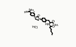 CCCCCC(=O)NC(Cc1ccc(N2CCN(c3ccc(C(=N)N)cc3)C2=O)cc1)C(=O)O.Cl